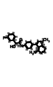 Cn1cc(-c2ccc(NC(=O)[C@H](O)c3cccc(F)c3)cc2)c2c(N)ncnc21